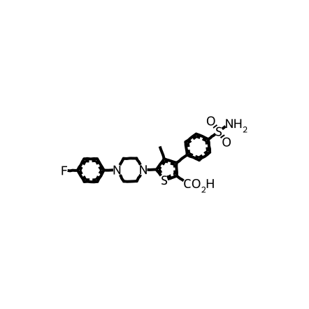 Cc1c(N2CCN(c3ccc(F)cc3)CC2)sc(C(=O)O)c1-c1ccc(S(N)(=O)=O)cc1